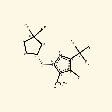 CCOC(=O)c1c(C)c(C(C)(F)F)nn1C[C@@H]1CCC(F)(F)C1